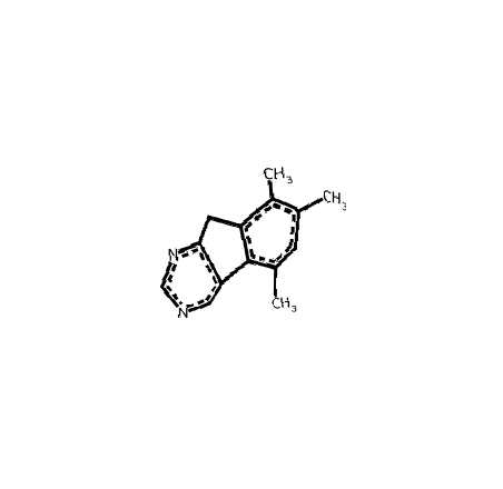 Cc1cc(C)c2c(c1C)Cc1ncncc1-2